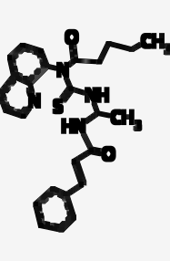 CCCCC(=O)N(C(=S)NC(C)NC(=O)/C=C/c1ccccc1)c1cccc2cccnc12